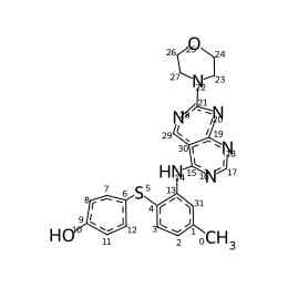 Cc1ccc(Sc2ccc(O)cc2)c(Nc2ncnc3nc(N4CCOCC4)ncc23)c1